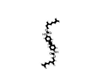 CC(C)=CCCC(C)CCOC(=O)NC1CCC2(CC1)C1C2C12CCC(NC(=O)OCCC(C)CCC=C(C)C)CC2